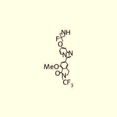 COc1cc(-c2cnc3cc(OCC4(F)CNC4)ccn23)cc2c1C(=O)N(CC(F)(F)F)CC2